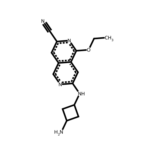 CCOc1nc(C#N)cc2cnc(NC3CC(N)C3)cc12